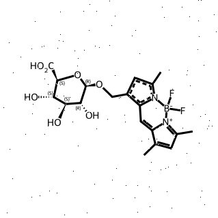 CC1=CC(C)=[N+]2C1=Cc1c(CO[C@@H]3O[C@H](C(=O)O)[C@@H](O)[C@H](O)[C@H]3O)cc(C)n1[B-]2(F)F